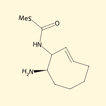 CSC(=O)NC1/C=C/CCCC[C@H]1N